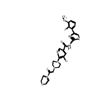 O=C(Nc1nc(-c2cccc(OC(F)(F)F)c2F)cs1)c1cnc(N2CCN(CC(=O)N3CCOCC3)CC2)c(Cl)c1